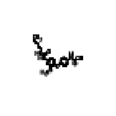 CCCCCNC(=O)Nc1ccc(Oc2ccc(NC(=O)O)cc2)c(OC)c1